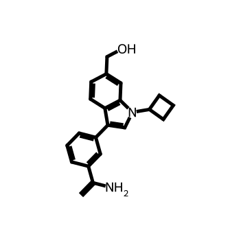 C=C(N)c1cccc(-c2cn(C3CCC3)c3cc(CO)ccc23)c1